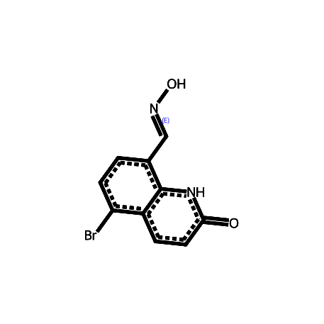 O=c1ccc2c(Br)ccc(/C=N/O)c2[nH]1